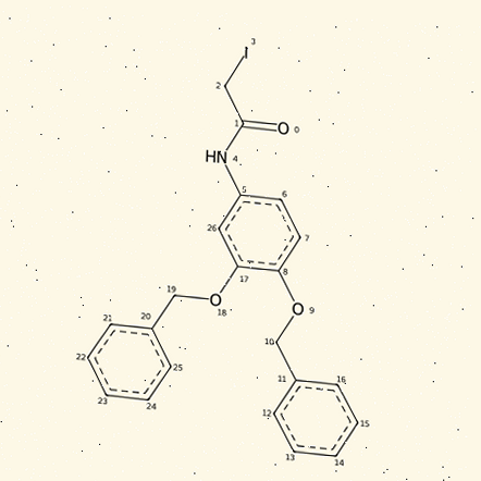 O=C(CI)Nc1ccc(OCc2ccccc2)c(OCc2ccccc2)c1